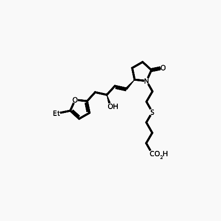 CCc1ccc(C[C@H](O)/C=C/[C@H]2CCC(=O)N2CCSCCCC(=O)O)o1